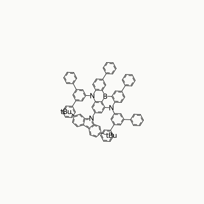 CC(C)(C)c1ccc2c3ccc(C(C)(C)C)cc3n(-c3cc4c5c(c3)N(c3cc(-c6ccccc6)cc(-c6ccccc6)c3)c3ccc(-c6ccccc6)cc3B5c3cc(-c5ccccc5)ccc3N4c3cc(-c4ccccc4)cc(-c4ccccc4)c3)c2c1